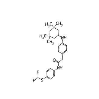 CC1(C)CC(Nc2ccc(CC(=O)Nc3ccc(SC(F)F)cc3)cc2)CC(C)(C)C1